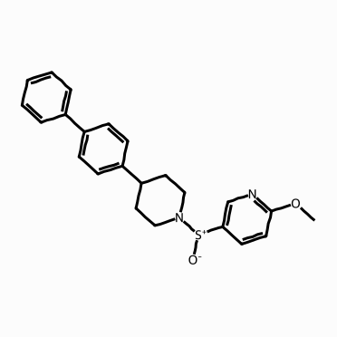 COc1ccc([S+]([O-])N2CCC(c3ccc(-c4ccccc4)cc3)CC2)cn1